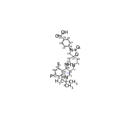 CC(C)(C)N/C=C(/CN1CCC2(CC1)CN(c1ccc(C(=O)O)cc1)C(=O)O2)C(=N)c1ccc(F)cc1F